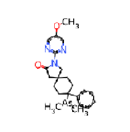 COc1cnc(N2CC3(CCC(c4ccccc4)([As](C)C)CC3)CC2=O)nc1